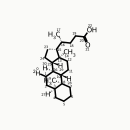 [2H]C1C[C@@H]2CCCC[C@]2(C)[C@H]2CC[C@]3(C)[C@@H]([C@H](C)CCC(=O)O)CC[C@H]3[C@H]12